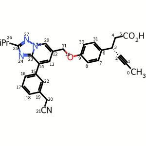 CC#C[C@@H](CC(=O)O)c1ccc(OCc2cc(-c3cccc(CC#N)c3)c3nc(C(C)C)nn3c2)cc1